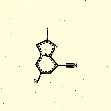 Cc1cn2cc(Br)cc(C#N)c2n1